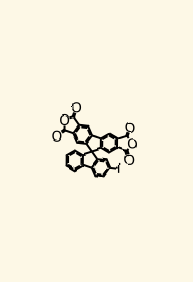 O=C1OC(=O)c2cc3c(cc21)-c1cc2c(cc1C31c3ccccc3-c3ccc(I)cc31)C(=O)OC2=O